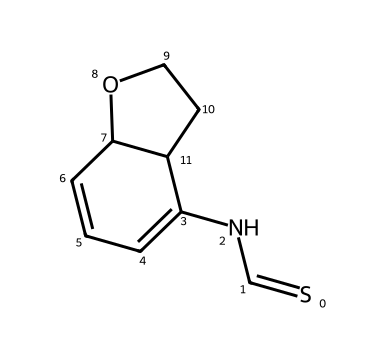 S=CNC1=CC=CC2OCCC12